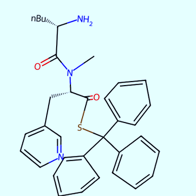 CCCC[C@H](N)C(=O)N(C)[C@@H](Cc1cccnc1)C(=O)SC(c1ccccc1)(c1ccccc1)c1ccccc1